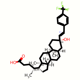 C[C@H](CCC(=O)O)[C@H]1CC[C@H]2[C@@H]3CC[C@@H]4C[C@](O)(/C=C/c5ccc(C(F)(F)F)cc5)CC[C@]4(C)[C@H]3CC[C@]12C